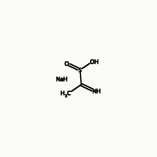 CC(=N)S(=O)O.[NaH]